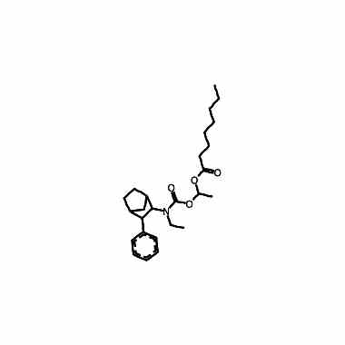 CCCCCCCC(=O)OC(C)OC(=O)N(CC)C1C2CCC(C2)C1c1ccccc1